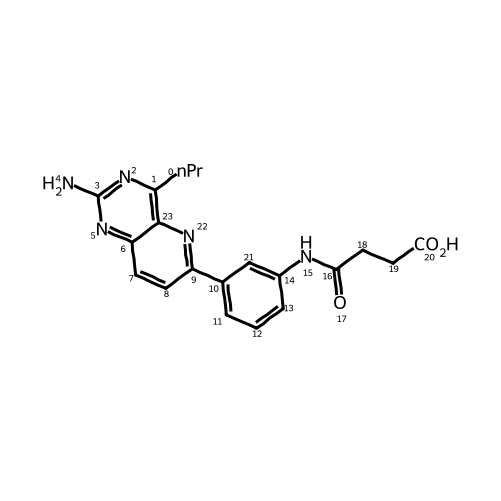 CCCc1nc(N)nc2ccc(-c3cccc(NC(=O)CCC(=O)O)c3)nc12